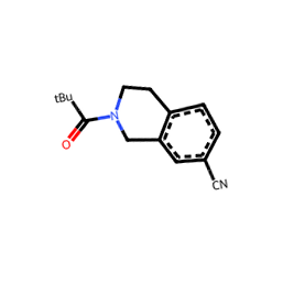 CC(C)(C)C(=O)N1CCc2ccc(C#N)cc2C1